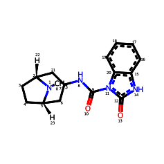 CN1[C@@H]2CC[C@H]1CC(NC(=O)n1c(=O)[nH]c3ccccc31)C2